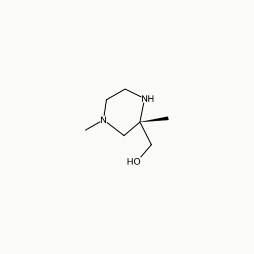 CN1CCN[C@](C)(CO)C1